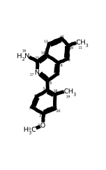 COc1ccc(-c2cc3cc(C)ccc3c(N)n2)c(C)c1